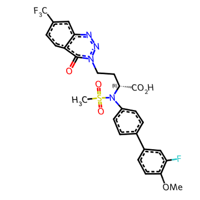 COc1ccc(-c2ccc(N([C@H](CCn3nnc4cc(C(F)(F)F)ccc4c3=O)C(=O)O)S(C)(=O)=O)cc2)cc1F